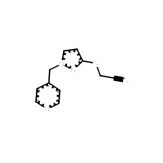 N#CCNc1ccn(Cc2ccncc2)n1